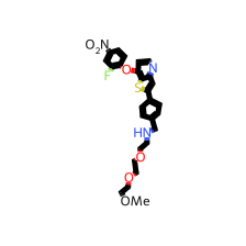 COCCOCCOCCNCc1ccc(-c2cc3nccc(Oc4ccc([N+](=O)[O-])cc4F)c3s2)cc1